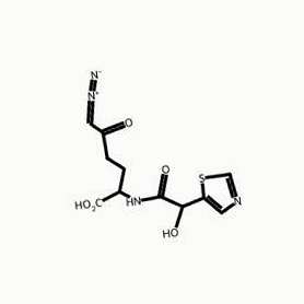 [N-]=[N+]=CC(=O)CCC(NC(=O)C(O)c1cncs1)C(=O)O